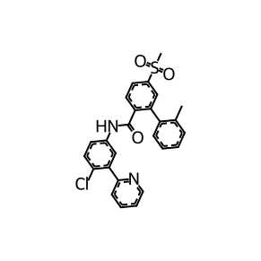 Cc1ccccc1-c1cc(S(C)(=O)=O)ccc1C(=O)Nc1ccc(Cl)c(-c2ccccn2)c1